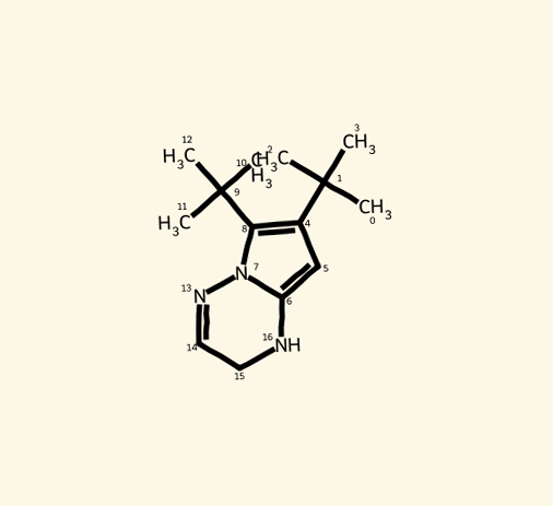 CC(C)(C)c1cc2n(c1C(C)(C)C)N=CCN2